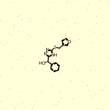 O[C@H](c1ccccc1)c1nnc(SCc2ccoc2)[nH]1